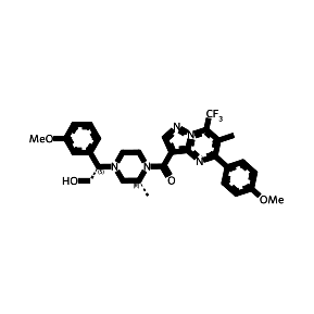 COc1ccc(-c2nc3c(C(=O)N4CCN([C@H](CO)c5cccc(OC)c5)C[C@H]4C)cnn3c(C(F)(F)F)c2C)cc1